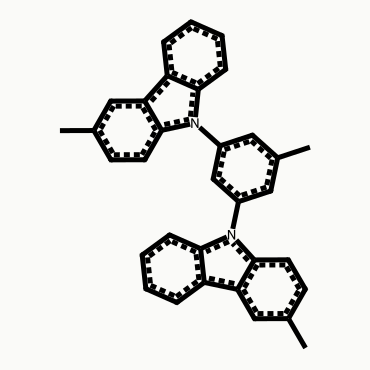 Cc1cc(-n2c3ccccc3c3cc(C)ccc32)cc(-n2c3ccccc3c3cc(C)ccc32)c1